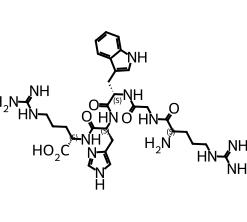 N=C(N)NCCC[C@H](NC(=O)[C@H](Cc1c[nH]cn1)NC(=O)[C@H](Cc1c[nH]c2ccccc12)NC(=O)CNC(=O)[C@@H](N)CCCNC(=N)N)C(=O)O